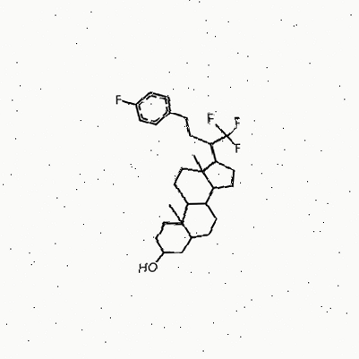 CC12CCC(O)CC1CCC1C2CCC2(C)C1CCC2C(CCc1ccc(F)cc1)C(F)(F)F